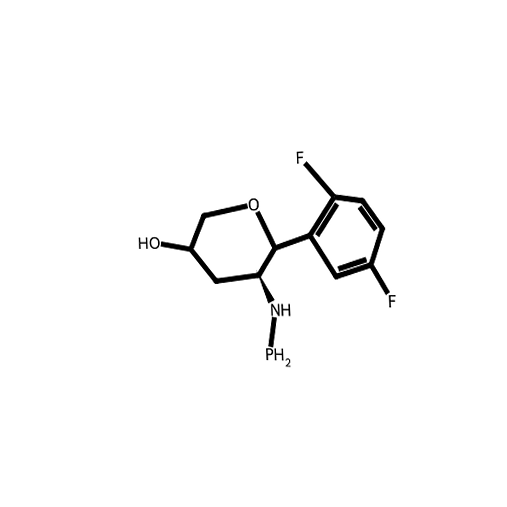 OC1COC(c2cc(F)ccc2F)[C@@H](NP)C1